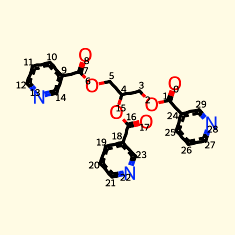 O=C(OCC(COC(=O)c1cccnc1)OC(=O)c1cccnc1)c1cccnc1